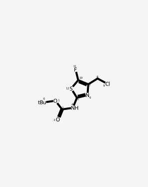 CC(C)(C)OC(=O)Nc1nc(CCl)c(F)s1